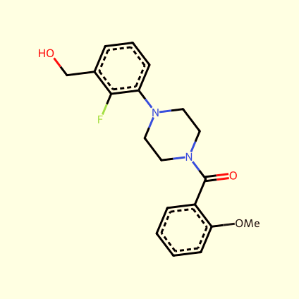 COc1ccccc1C(=O)N1CCN(c2cccc(CO)c2F)CC1